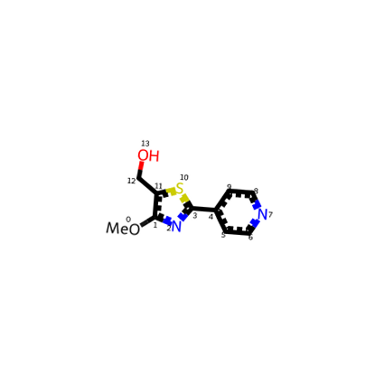 COc1nc(-c2ccncc2)sc1CO